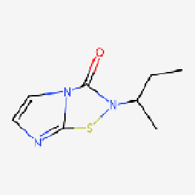 CCC(C)n1sc2nccn2c1=O